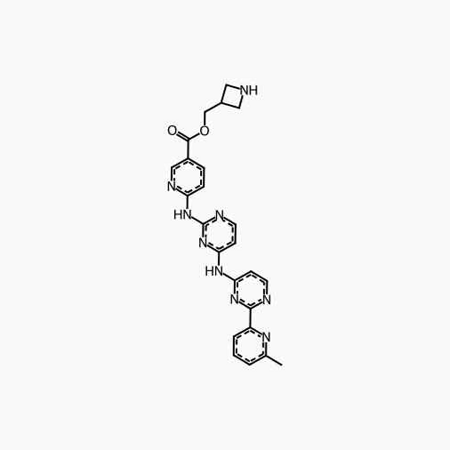 Cc1cccc(-c2nccc(Nc3ccnc(Nc4ccc(C(=O)OCC5CNC5)cn4)n3)n2)n1